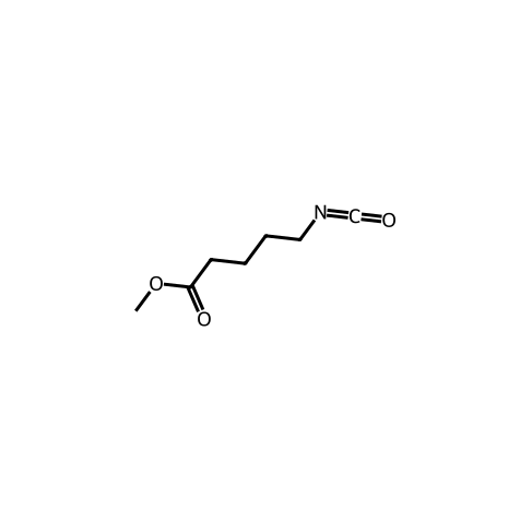 COC(=O)CCCCN=C=O